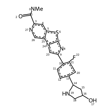 CNC(=O)c1cc2sc3nc(-c4ccc(C5CC(O)CN5)cc4F)cn3c2cn1